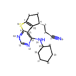 N#CCC[C@H]1CCc2sc3ncnc(NC4CCCCC4)c3c21